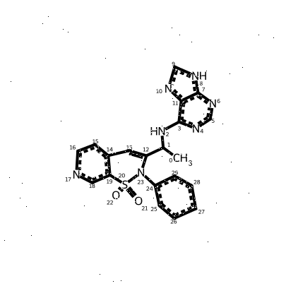 CC(Nc1ncnc2[nH]cnc12)C1=Cc2ccncc2S(=O)(=O)N1c1ccccc1